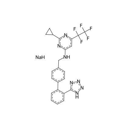 FC(F)(F)C(F)(F)c1cc(NCc2ccc(-c3ccccc3-c3nnn[nH]3)cc2)nc(C2CC2)n1.[NaH]